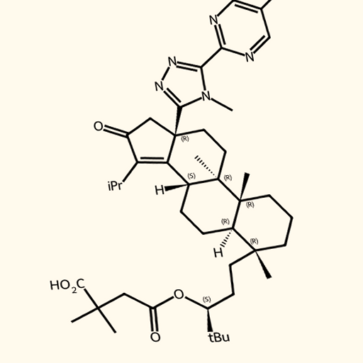 CC(C)C1=C2[C@H]3CC[C@@H]4[C@@](C)(CC[C@H](OC(=O)CC(C)(C)C(=O)O)C(C)(C)C)CCC[C@@]4(C)[C@]3(C)CC[C@@]2(c2nnc(-c3ncc(F)cn3)n2C)CC1=O